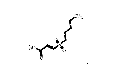 CCCCCS(=O)(=O)/C=C/C(=O)O